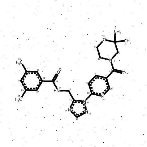 CC1(C)CN(C(=O)c2ccc(-n3ncnc3CNC(=O)c3cc(C(F)(F)F)cc(C(F)(F)F)c3)nc2)CCO1